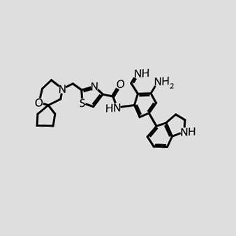 N=Cc1c(N)cc(-c2cccc3c2CCN3)cc1NC(=O)c1csc(CN2CCOC3(CCCC3)C2)n1